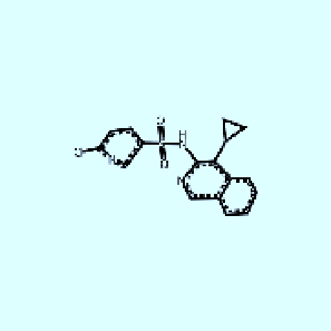 O=S(=O)(Nc1ncc2ccccc2c1C1CC1)c1ccc(Cl)nc1